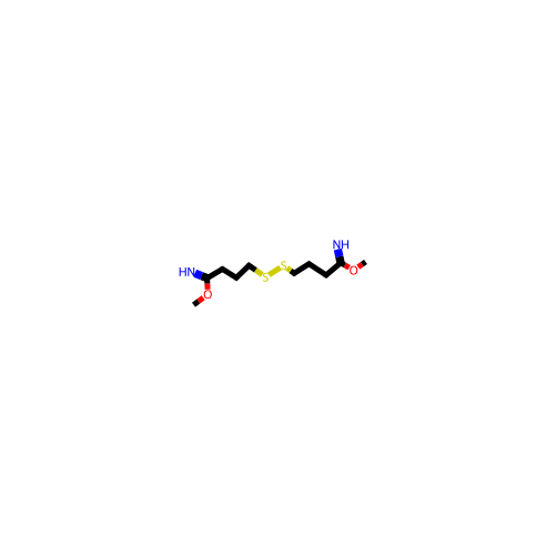 COC(=N)CCCSSCCCC(=N)OC